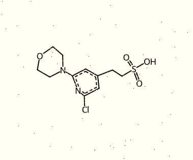 O=S(=O)(O)CCc1cc(Cl)nc(N2CCOCC2)c1